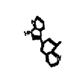 Cc1cc(-c2c[nH]c3ncccc23)cc2cccnc12